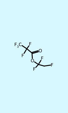 O=C(OC(F)(F)CF)C(F)(F)C(F)(F)F